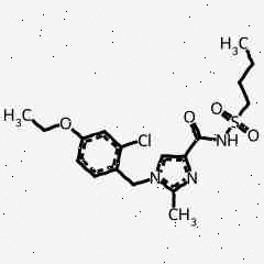 CCCCS(=O)(=O)NC(=O)c1cn(Cc2ccc(OCC)cc2Cl)c(C)n1